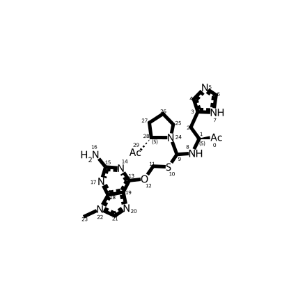 CC(=O)[C@H](Cc1cnc[nH]1)NC(SCOc1nc(N)nc2c1ncn2C)N1CCC[C@H]1C(C)=O